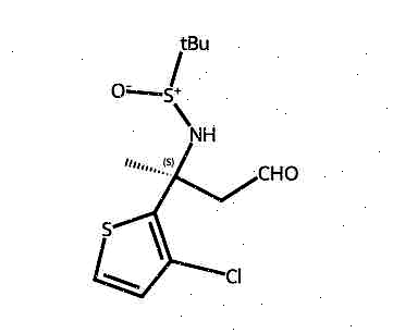 CC(C)(C)[S+]([O-])N[C@@](C)(CC=O)c1sccc1Cl